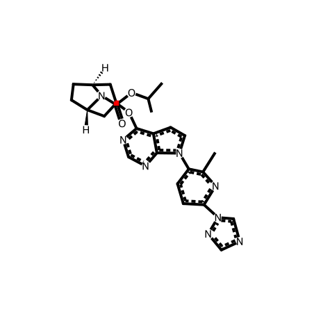 Cc1nc(-n2cncn2)ccc1-n1ccc2c(OC3C[C@@H]4CC[C@@H](C3)N4C(=O)OC(C)C)ncnc21